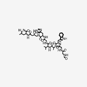 CC(C)CC(NC(=O)CC(O)CNC(=O)C(Cc1c[nH]cn1)NC(=O)CNC(=O)C(NC(=O)C(C)NC(=O)C(Cc1c[nH]c2ccccc12)NC(=O)CNC(=O)CNC=O)C(C)C)C(N)=O